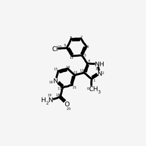 Cc1n[nH]c(-c2cccc(Cl)c2)c1-c1ccnc(C(N)=O)c1